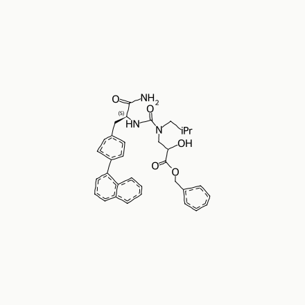 CC(C)CN(CC(O)C(=O)OCc1ccccc1)C(=O)N[C@@H](Cc1ccc(-c2cccc3ccccc23)cc1)C(N)=O